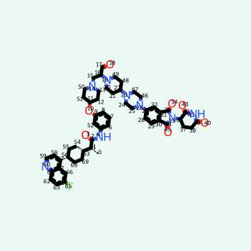 C[C@@H](C(=O)Nc1cccc(OC2CCN(CC(C=O)N3CCC(N4CCN(c5ccc6c(c5)C(=O)N(C5CCC(=O)NC5=O)C6=O)CC4)CC3)CC2)c1)[C@H]1CC[C@@H](c2ccnc3ccc(F)cc32)CC1